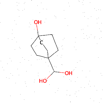 OC(O)C12CCC(O)(CC1)CC2